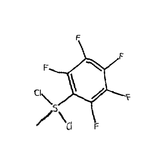 CS(Cl)(Cl)c1c(F)c(F)c(F)c(F)c1F